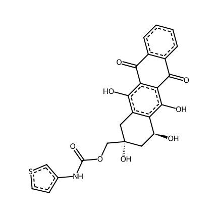 O=C(Nc1ccsc1)OC[C@@]1(O)Cc2c(O)c3c(c(O)c2[C@@H](O)C1)C(=O)c1ccccc1C3=O